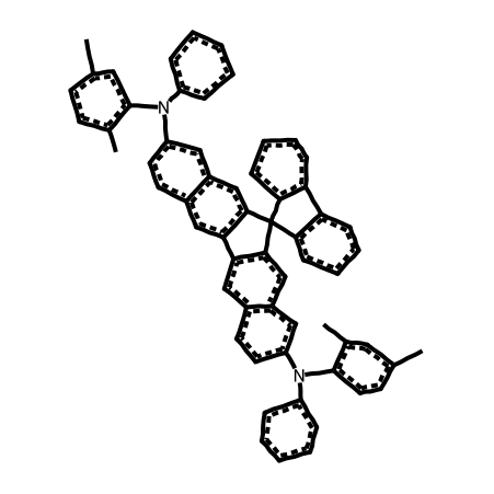 Cc1ccc(N(c2ccccc2)c2ccc3cc4c(cc3c2)C2(c3ccccc3-c3ccccc32)c2cc3cc(N(c5ccccc5)c5cc(C)ccc5C)ccc3cc2-4)c(C)c1